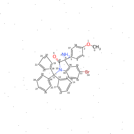 COc1ccc([C@]2(N)C(=O)N(C(c3ccccc3)(c3ccccc3)c3ccccc3)c3ccc(Br)cc32)cc1